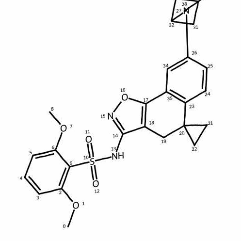 COc1cccc(OC)c1S(=O)(=O)Nc1noc2c1CC1(CC1)c1ccc(N3CC4(F)CC3C4)cc1-2